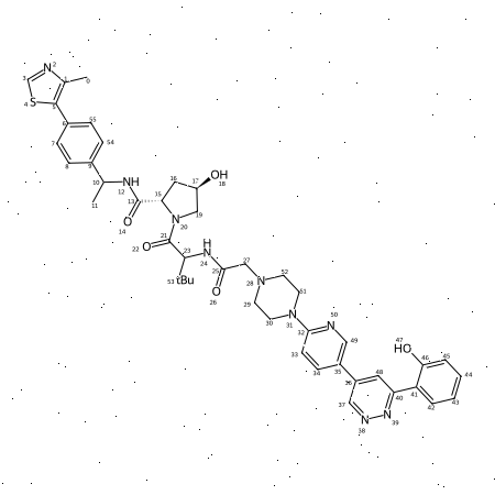 Cc1ncsc1-c1ccc(C(C)NC(=O)[C@@H]2C[C@@H](O)CN2C(=O)C(NC(=O)CN2CCN(c3ccc(-c4cnnc(-c5ccccc5O)c4)cn3)CC2)C(C)(C)C)cc1